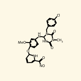 COc1cc(NC2NC(=O)N(C)C(=O)N2Cc2ccc(Cl)cc2)ccc1OC1C=CC=C(C(=O)N=O)N1